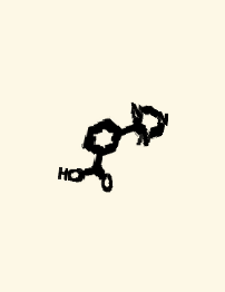 O=C(O)c1cccc(-c2ncncn2)c1